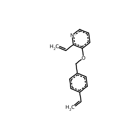 C=Cc1ccc(COc2cccnc2C=C)cc1